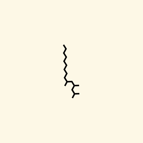 CCCCCCCCCC(C)CC(C)CC(C)C